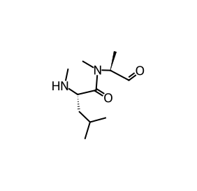 CN[C@@H](CC(C)C)C(=O)N(C)[C@@H](C)C=O